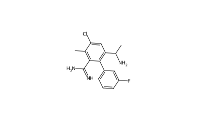 Cc1c(Cl)cc(C(C)N)c(-c2cccc(F)c2)c1C(=N)N